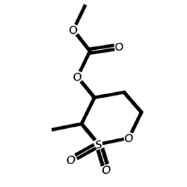 COC(=O)OC1CCOS(=O)(=O)C1C